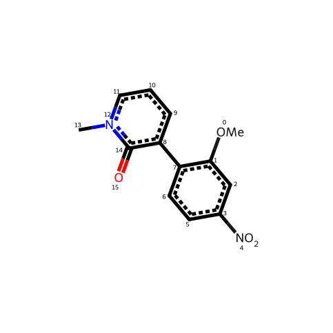 COc1cc([N+](=O)[O-])ccc1-c1cccn(C)c1=O